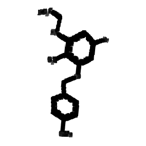 COc1ccc(COc2cc(Br)cc(NCC(=O)O)c2[N+](=O)[O-])cc1